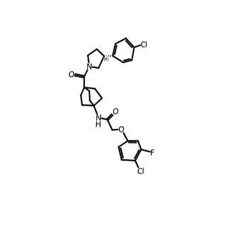 O=C(COc1ccc(Cl)c(F)c1)NC12CCC(C(=O)N3CC[C@H](c4ccc(Cl)cc4)C3)(CC1)CC2